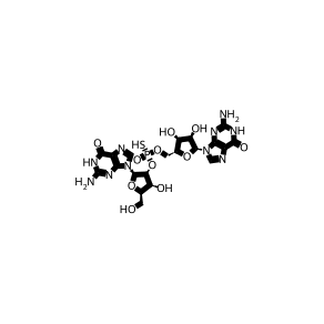 Nc1nc2c(ncn2[C@@H]2O[C@H](COP(=O)(S)O[C@@H]3[C@H](O)[C@@H](CO)O[C@H]3n3cnc4c(=O)[nH]c(N)nc43)[C@@H](O)[C@H]2O)c(=O)[nH]1